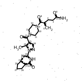 C=C(CCC(N)=O)C(=O)N1CCN(C(=O)c2cnn(-c3nc4c(c(=O)[nH]3)CCC4)c2C)CC1